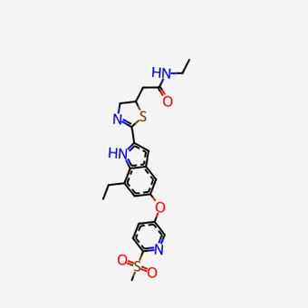 CCNC(=O)CC1CN=C(c2cc3cc(Oc4ccc(S(C)(=O)=O)nc4)cc(CC)c3[nH]2)S1